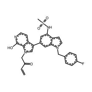 C=CC(=O)Cn1cc(-c2cc(NS(C)(=O)=O)c3ccn(Cc4ccc(F)cc4)c3c2)c2ccnc(O)c21